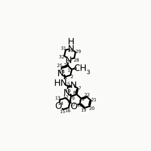 CC1CC(Nc2ncc3c(n2)C2(CCOCC2)Oc2ccccc2-3)=NC=C1N1CCNCC1